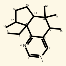 CCC12c3ncncc3C(C)C(C)(C)C1CCC2C